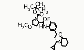 CO[C@@H]1C[C@H](C(=O)Nc2cc(CC[C@@H](C3CC3)N3CCCCC3=O)ccc2F)N(C(=O)OC(C)(C)C)C1